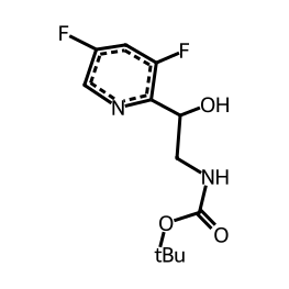 CC(C)(C)OC(=O)NCC(O)c1ncc(F)cc1F